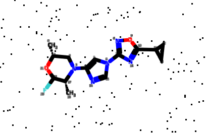 C[C@@H]1CN(c2cn(-c3noc(C4CC4)n3)cn2)[C@H](C)C(F)O1